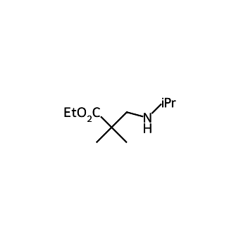 CCOC(=O)C(C)(C)CNC(C)C